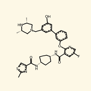 Cc1nc(C(=O)N[C@H]2CC[C@@H](NC(=O)c3cc(F)cnc3Oc3cccc(-c4cc(O)cc(CN5C[C@@H](C)N[C@@H](C)C5)c4)c3)CC2)cs1